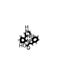 O=C(O)C(Cc1ccccc1)Nc1ccccc1C1CNCCN1